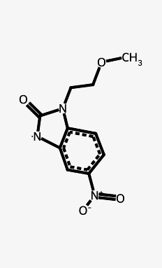 COCCN1C(=O)[N]c2cc([N+](=O)[O-])ccc21